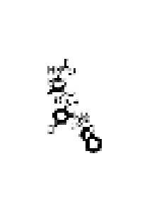 CC(=O)Nc1nc(C)c(S(=O)(=O)Nc2ccc(Cl)cc2NS(=O)(=O)c2cc3ccccc3o2)s1